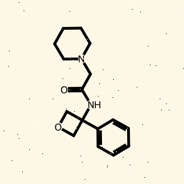 O=C(CN1CCCCC1)NC1(c2ccccc2)COC1